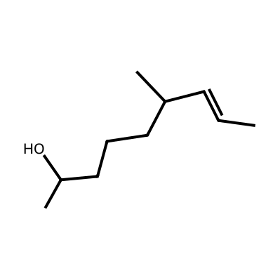 CC=CC(C)CCCC(C)O